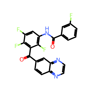 O=C(Nc1cc(F)c(F)c(C(=O)c2ccc3nccnc3c2)c1F)c1cccc(F)c1